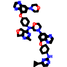 Cc1nc2c(c(N(C3CN(c4cc(O[C@H]5CC[C@@H](Nc6nccc(C7CC7)n6)CC5)c5nccnc5c4)CCO3)[C@H]3CC[C@@H](Oc4cc(N5CCOCC5)cc5nccnc45)CC3)n1)COC2